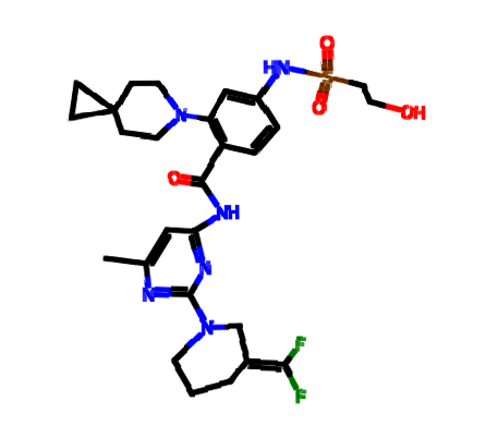 Cc1cc(NC(=O)c2ccc(NS(=O)(=O)CCO)cc2N2CCC3(CC2)CC3)nc(N2CCCC(=C(F)F)C2)n1